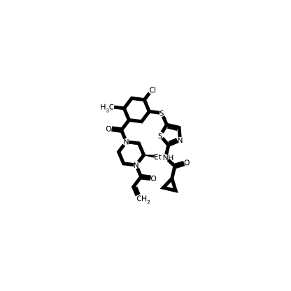 C=CC(=O)N1CCN(C(=O)C2CC(Sc3cnc(NC(=O)C4CC4)s3)C(Cl)CC2C)C[C@H]1CC